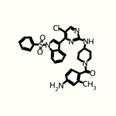 Cc1cc(N)ccc1C(=O)N1CCC(Nc2ncc(Cl)c(-c3cn(S(=O)(=O)c4ccccc4)c4ccccc34)n2)CC1